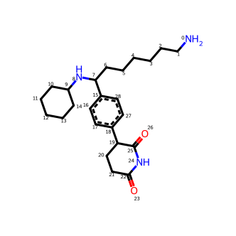 NCCCCCCC(NC1CCCCC1)c1ccc(C2CCC(=O)NC2=O)cc1